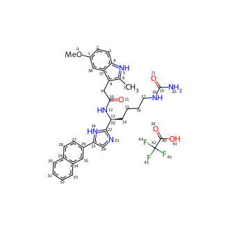 COc1ccc2[nH]c(C)c(CC(=O)N[C@@H](CCCCNC(N)=O)c3ncc(-c4ccc5ccccc5c4)[nH]3)c2c1.O=C(O)C(F)(F)F